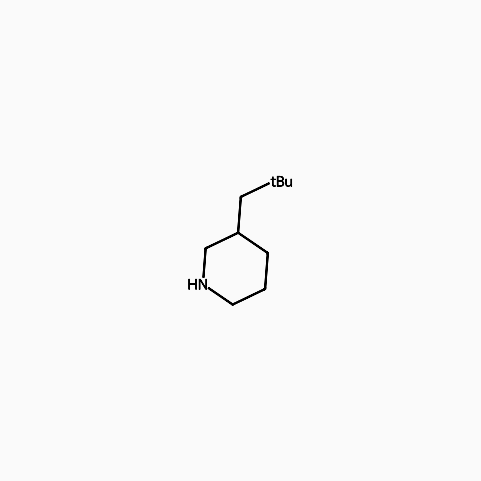 CC(C)(C)CC1CCCNC1